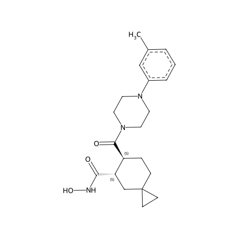 Cc1cccc(N2CCN(C(=O)[C@H]3CCC4(CC4)C[C@@H]3C(=O)NO)CC2)c1